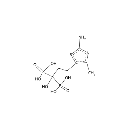 Cc1nc(N)sc1CCC(O)(P(=O)(O)O)P(=O)(O)O